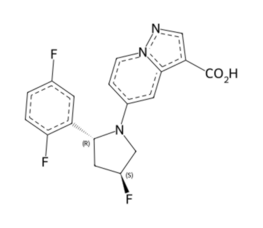 O=C(O)c1cnn2ccc(N3C[C@@H](F)C[C@@H]3c3cc(F)ccc3F)cc12